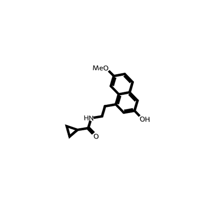 COc1ccc2cc(O)cc(CCNC(=O)C3CC3)c2c1